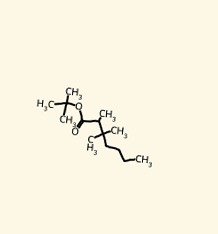 CCCCC(C)(C)C(C)C(=O)OC(C)(C)C